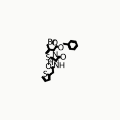 O=C(Cc1cccs1)N[C@@H]1C(=O)N2C(C(=O)OCc3ccccc3)C(CBr)=CS[C@H]12